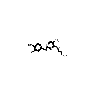 CC(=O)NCCNc1nc(Nc2ccc(C#N)c(Cl)c2)ncc1C(F)(F)F